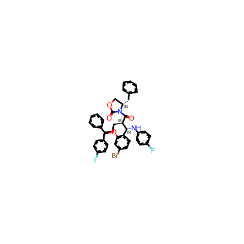 O=C1OC[C@H](Cc2ccccc2)N1C(=O)[C@H](CCCc1ccc(F)cc1)[C@H](Nc1ccc(F)cc1)c1ccc(Br)cc1OCc1ccccc1